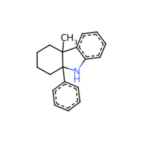 CC12CCCCC1(c1ccccc1)Nc1ccccc12